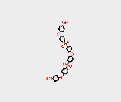 O=S(=O)(c1ccc(Oc2ccc(O)cc2)cc1)c1ccc(Oc2ccc(S(=O)(=O)c3ccc(Oc4ccc(O)cc4)cc3)cc2)cc1